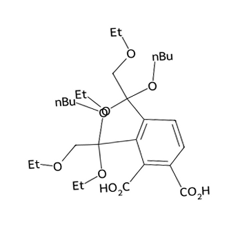 CCCCOC(COCC)(OCC)c1ccc(C(=O)O)c(C(=O)O)c1C(COCC)(OCC)OCCCC